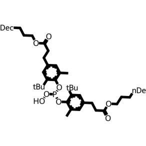 CCCCCCCCCCCCCOC(=O)CCc1cc(C)c(OP(OO)Oc2c(C)cc(CCC(=O)OCCCCCCCCCCCCC)cc2C(C)(C)C)c(C(C)(C)C)c1